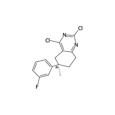 C[C@@]1(c2cccc(F)c2)CCc2nc(Cl)nc(Cl)c2C1